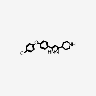 Clc1ccc(Oc2ccc(-c3cc(C4CCNCC4)n[nH]3)cc2)cc1